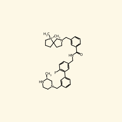 C[C@H]1CN(Cc2cccc(-c3cc(CNC(=O)c4cccc(CN5CCC6(CCC[N+]6(C)C)C5)c4)ccc3F)c2)CCN1